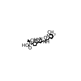 Cc1cccc(CC(=O)Nc2cc(C3CCC(N(C(=O)O)C4(C)CC4)C3)[nH]n2)n1